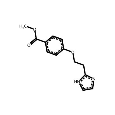 COC(=O)c1ccc(OCCc2ncc[nH]2)cc1